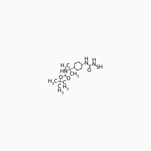 CC(C)(C)OC(=O)NC(C)(C)c1ccc(NC(=O)NS)cc1